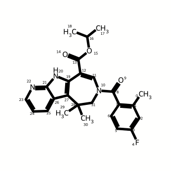 Cc1cc(F)ccc1C(=O)N1C=C(C(=O)OC(C)C)c2[nH]c3ncccc3c2C(C)(C)C1